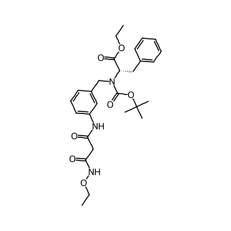 CCONC(=O)CC(=O)Nc1cccc(CN(C(=O)OC(C)(C)C)[C@@H](Cc2ccccc2)C(=O)OCC)c1